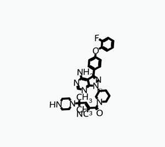 CC(C)(C=C(C#N)C(=O)N1CCC[C@H](n2nc(-c3ccc(Oc4ccccc4F)cc3)c3c(N)ncnc32)C1)N1CCNCC1